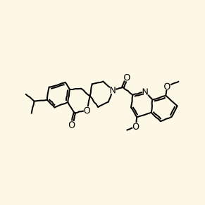 COc1cc(C(=O)N2CCC3(CC2)Cc2ccc(C(C)C)cc2C(=O)O3)nc2c(OC)cccc12